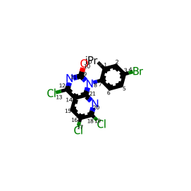 CC(C)c1cc(Br)ccc1-n1c(=O)nc(Cl)c2cc(Cl)c(Cl)nc21